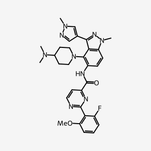 COc1cccc(F)c1-c1nccc(C(=O)Nc2ccc3c(c(-c4cnn(C)c4)nn3C)c2N2CCC(N(C)C)CC2)n1